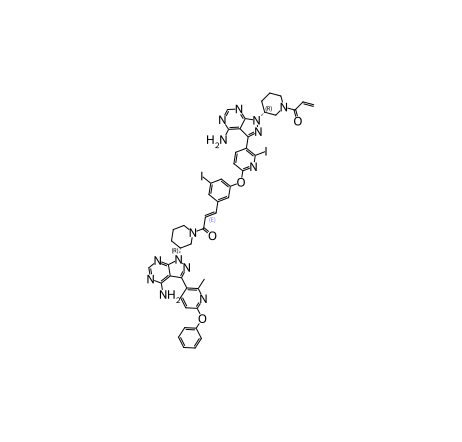 C=CC(=O)N1CCC[C@@H](n2nc(-c3ccc(Oc4cc(I)cc(/C=C/C(=O)N5CCC[C@@H](n6nc(-c7ccc(Oc8ccccc8)nc7C)c7c(N)ncnc76)C5)c4)nc3I)c3c(N)ncnc32)C1